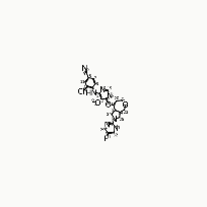 COc1c(Nc2ccc(C#N)cc2Cl)ncnc1O[C@H]1CCOCC2CN(c3ncc(F)cn3)CC21